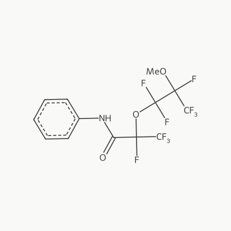 COC(F)(C(F)(F)F)C(F)(F)OC(F)(C(=O)Nc1ccccc1)C(F)(F)F